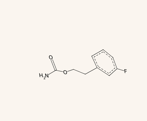 NC(=O)OCCc1cccc(F)c1